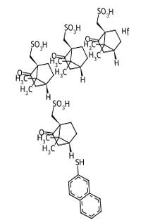 CC1(C)[C@@H]2CC[C@@]1(CS(=O)(=O)O)C(=O)C2.CC1(C)[C@@H]2CC[C@@]1(CS(=O)(=O)O)C(=O)C2.CC1(C)[C@@H]2CC[C@@]1(CS(=O)(=O)O)C(=O)C2.CC1(C)[C@@H]2CC[C@@]1(CS(=O)(=O)O)C(=O)C2.Sc1ccc2ccccc2c1.[Hf]